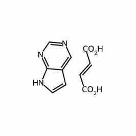 O=C(O)C=CC(=O)O.c1ncc2cc[nH]c2n1